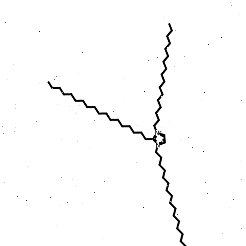 CCCCCCCCCCCCCCCCCCc1n(CCCCCCCCCCCCCCCCC)cc[n+]1CCCCCCCCCCCCCCCCC